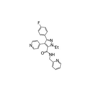 CCn1nc(-c2ccc(F)cc2)c(-c2ccncc2)c1C(=O)NCc1ccccn1